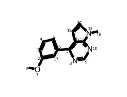 COc1cccc(-c2ncnc3c2ccn3C)c1